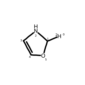 [2H]C1NC=CO1